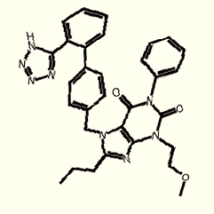 CCCc1nc2c(c(=O)n(-c3ccccc3)c(=O)n2CCOC)n1Cc1ccc(-c2ccccc2-c2nnn[nH]2)cc1